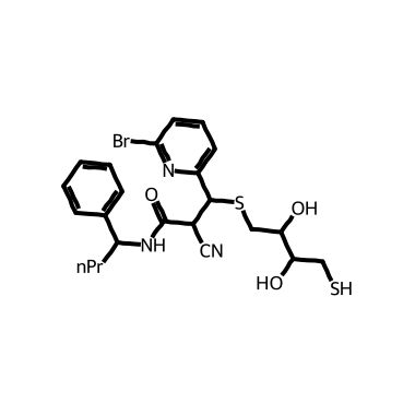 CCCC(NC(=O)C(C#N)C(SCC(O)C(O)CS)c1cccc(Br)n1)c1ccccc1